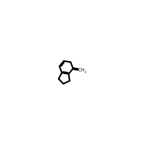 C=C1CC=CC2=C1CCC2